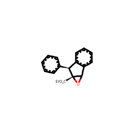 CCOC(=O)[C@]12OC1c1ccccc1[C@@H]2c1ccccc1